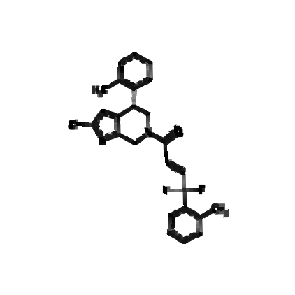 Cc1ccccc1[C@@H]1CN(C(=O)/C=C/C(F)(F)c2ccccc2C)Cc2sc(Cl)cc21